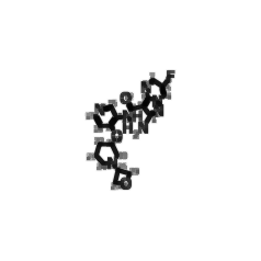 Nc1nn2cc(F)cnc2c1C(=O)Nc1cnccc1O[C@H]1CCCN(C2COC2)C1